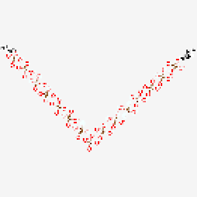 O=S(=O)([O-])[O-].O=S(=O)([O-])[O-].O=S(=O)([O-])[O-].O=S(=O)([O-])[O-].O=S(=O)([O-])[O-].O=S(=O)([O-])[O-].O=S(=O)([O-])[O-].O=S(=O)([O-])[O-].O=S(=O)([O-])[O-].O=S(=O)([O-])[O-].O=S(=O)([O-])[O-].O=S(=O)([O-])[O-].O=S(=O)([O-])[O-].O=S(=O)([O-])[O-].O=S(=O)([O-])[O-].[Ni+2].[Ni+2].[Ni+2].[Ni+2].[Ni+2]